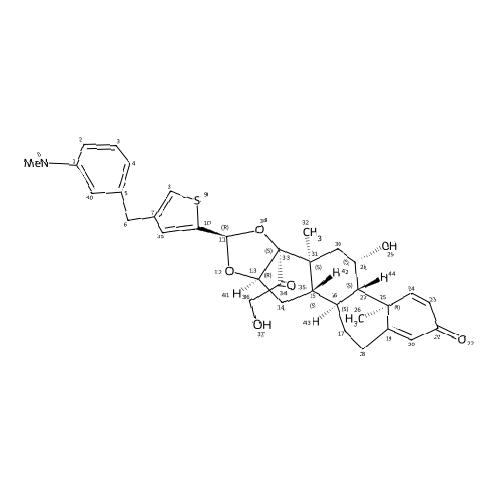 CNc1cccc(Cc2csc([C@@H]3O[C@@H]4C[C@H]5[C@@H]6CCC7=CC(=O)C=C[C@]7(C)[C@H]6[C@@H](O)C[C@]5(C)[C@]4(C(=O)CO)O3)c2)c1